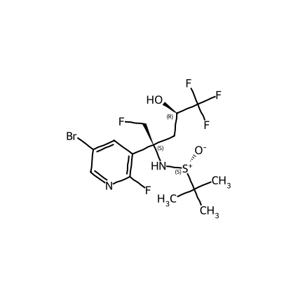 CC(C)(C)[S@@+]([O-])N[C@@](CF)(C[C@@H](O)C(F)(F)F)c1cc(Br)cnc1F